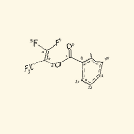 O=C(OC(=C(F)F)C(F)(F)F)c1ccccc1